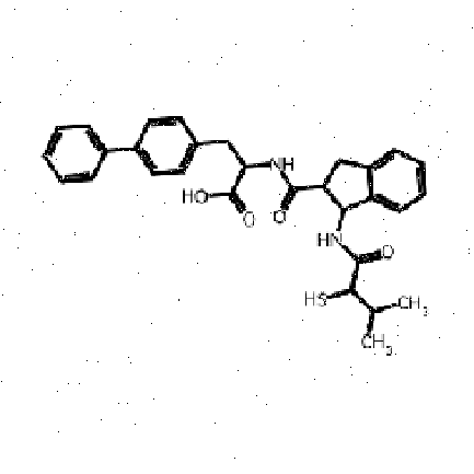 CC(C)C(S)C(=O)NC1c2ccccc2CC1C(=O)NC(Cc1ccc(-c2ccccc2)cc1)C(=O)O